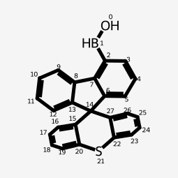 OBc1cccc2c1-c1ccccc1C21c2ccccc2Sc2ccccc21